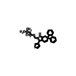 C[Si](C)(C)CCOCN1NC2=C(C=CC(c3ccccc3)(c3ccccc3)C2)C1c1ccsc1